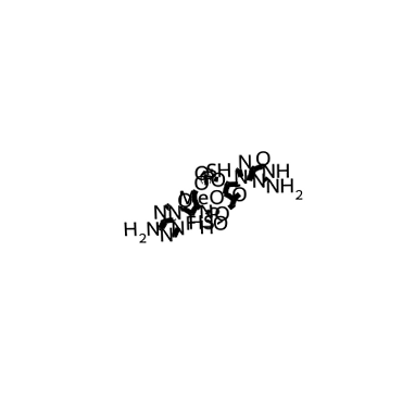 COC1C2COP(=O)(S)NC3C(CO[P@](=O)(S)OC1C(n1cnc4c(=O)[nH]c(N)nc41)O2)OC(n1cnc2c(N)ncnc21)C3F